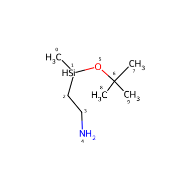 C[SiH](CCN)OC(C)(C)C